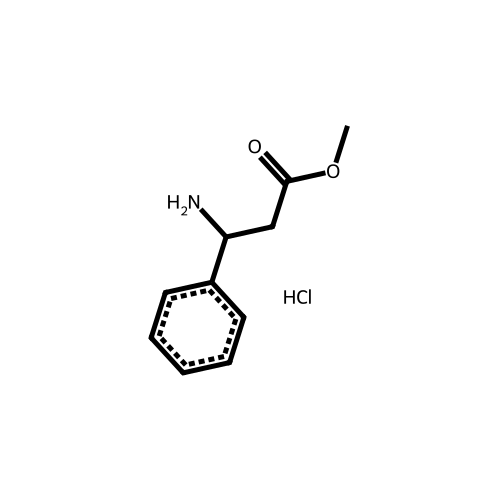 COC(=O)CC(N)c1ccccc1.Cl